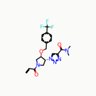 C=CC(=O)N1C[C@@H](n2cc(C(=O)N(C)C)nn2)[C@H](OCc2ccc(C(F)(F)F)cc2)C1